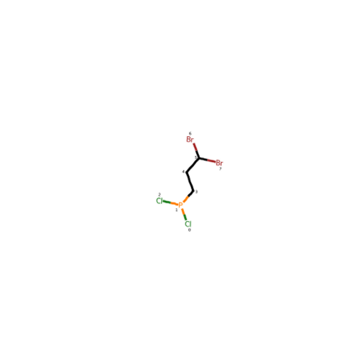 ClP(Cl)CCC(Br)Br